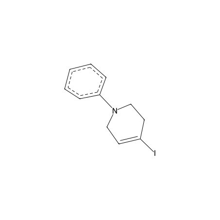 IC1=CCN(c2ccccc2)CC1